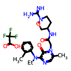 CCN(c1ccccc1C)c1ncc(C)n(CC(=O)NC2CCN(C(=N)N)OC2)c1=O.O=C(O)C(F)(F)F